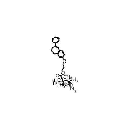 CC(C)(N)CC(C)(N)C(C)(C)C(=O)OCCCOc1ccc2c(c1)CCCC(c1ccccc1)=C2